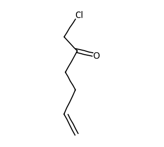 C=CCCC(=O)CCl